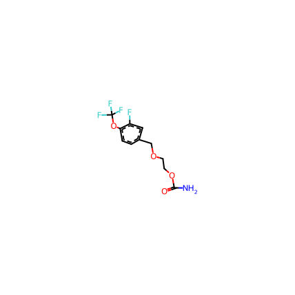 NC(=O)OCCOCc1ccc(OC(F)(F)F)c(F)c1